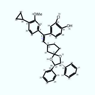 COc1nc(/C(=C/[C@H]2CCC3(C2)O[C@H](c2ccccc2)[C@@H](c2ccccc2)O3)c2ccc(O)c(Cl)c2)ccc1C1CC1